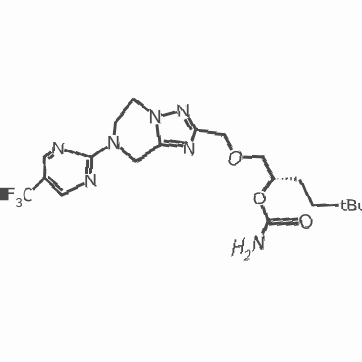 CC(C)(C)CC[C@@H](COCc1nc2n(n1)CCN(c1ncc(C(F)(F)F)cn1)C2)OC(N)=O